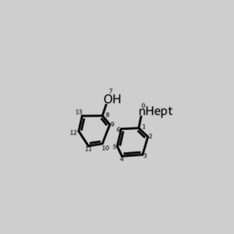 CCCCCCCc1ccccc1.Oc1ccccc1